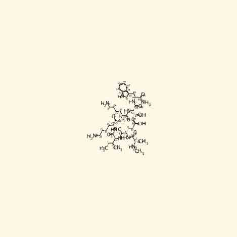 CC[C@H](C)[C@H](NC(=O)[C@H](CCC(=O)O)NC(=O)[C@H](C)NC)C(=O)N[C@@H](CCCCN)C(=O)N[C@@H](CCCCN)C(=O)N[C@@H](CO)C(=O)N[C@@H](Cc1c[nH]c2ccccc12)C(N)=O